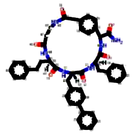 NC(=O)C1NC(=O)[C@@H](Cc2ccccc2)NC(=O)[C@H](Cc2ccc(-c3ccccc3)cc2)NC(=O)[C@@H](CCc2ccccc2)NC(=O)CCNC(=O)c2ccc1cc2